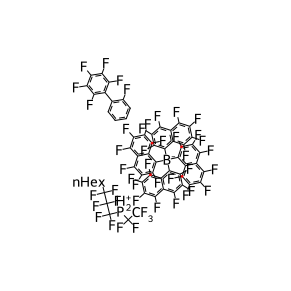 CCCCCCC(F)(F)C(F)(F)C(F)(F)[PH2+]C(F)(F)C(F)(F)F.Fc1c(F)c(F)c2c([B-](c3c(F)c(F)c(F)c4c(F)c(F)c(F)c(F)c34)(c3c(F)c(F)c(F)c4c(F)c(F)c(F)c(F)c34)c3c(F)c(F)c(F)c4c(F)c(F)c(F)c(F)c34)c(F)c(F)c(F)c2c1F.Fc1ccccc1-c1c(F)c(F)c(F)c(F)c1F